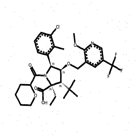 CC[C@@]1(C(=O)O)[C@@H](C(C)(C)C)[C@H](OCc2cc(C(F)(F)F)cnc2OC)[C@H](c2cccc(Cl)c2C)N1C(=O)C1CCCCO1